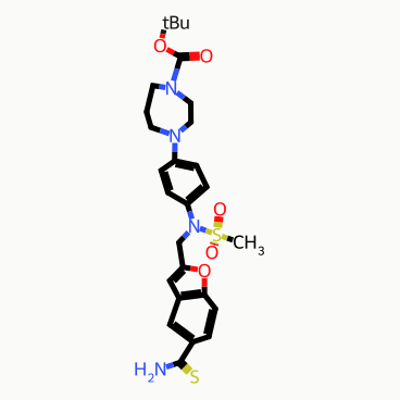 CC(C)(C)OC(=O)N1CCCN(c2ccc(N(Cc3cc4cc(C(N)=S)ccc4o3)S(C)(=O)=O)cc2)CC1